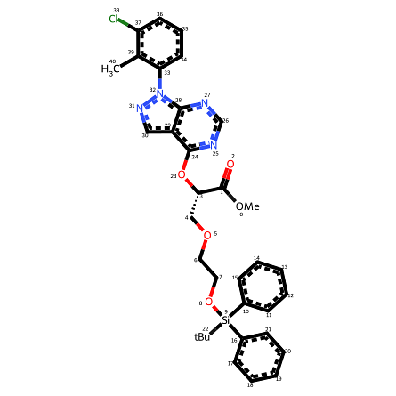 COC(=O)[C@H](COCCO[Si](c1ccccc1)(c1ccccc1)C(C)(C)C)Oc1ncnc2c1cnn2-c1cccc(Cl)c1C